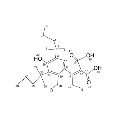 CCCC(C)(C)c1cc(C(CC)=C(C(=O)O)C(=O)O)c(CC)c(C(C)(C)CCC)c1O